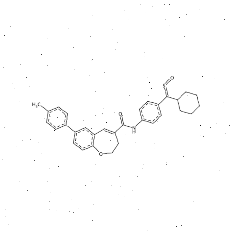 Cc1ccc(-c2ccc3c(c2)C=C(C(=O)Nc2ccc(C(=S=O)C4CCCCC4)cc2)CCO3)cc1